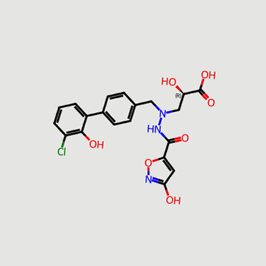 O=C(NN(Cc1ccc(-c2cccc(Cl)c2O)cc1)C[C@@H](O)C(=O)O)c1cc(O)no1